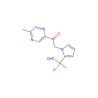 Cc1cnc(C(=O)Cn2cccc2C(C)(Cl)C=O)cn1